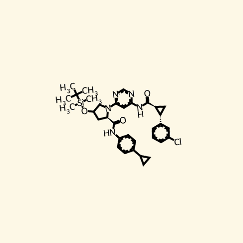 CC(C)(C)[Si](C)(C)OC1C[C@H](C(=O)Nc2ccc(C3CC3)cc2)N(c2cc(NC(=O)[C@H]3C[C@@H]3c3cccc(Cl)c3)ncn2)C1